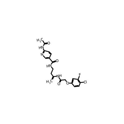 C=C(CCNC(=O)c1ccc(NC(C)=O)nc1)NC(=O)COc1ccc(Cl)c(F)c1